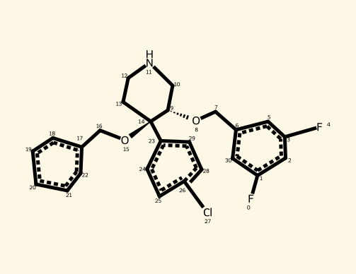 Fc1cc(F)cc(CO[C@H]2CNCC[C@@]2(OCc2ccccc2)c2ccc(Cl)cc2)c1